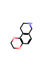 c1cc2c(c3c1CNCC3)OCCO2